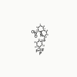 O=[N+]([O-])c1cccc2ccc(Sc3cccc(C(F)(F)F)c3)nc12